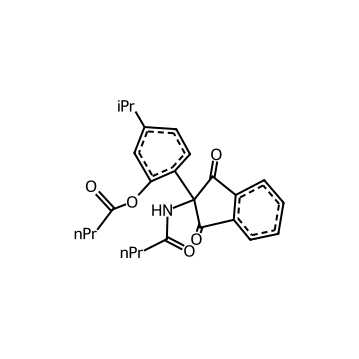 CCCC(=O)NC1(c2ccc(C(C)C)cc2OC(=O)CCC)C(=O)c2ccccc2C1=O